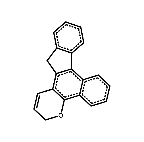 C1=Cc2c3c(c4ccccc4c2OC1)-c1ccccc1C3